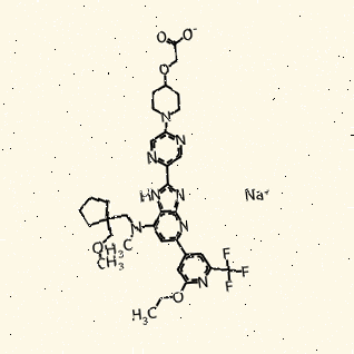 CCOc1cc(-c2cc(N(C)CC3(COC)CCCC3)c3[nH]c(-c4cnc(N5CCC(OCC(=O)[O-])CC5)cn4)nc3n2)cc(C(F)(F)F)n1.[Na+]